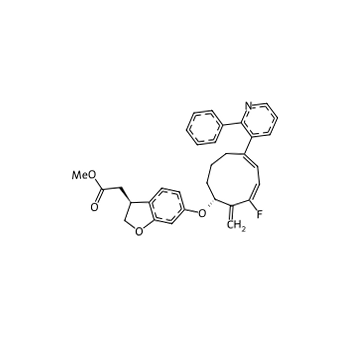 C=C1/C(F)=C\C=C(\c2cccnc2-c2ccccc2)CCC[C@H]1Oc1ccc2c(c1)OC[C@H]2CC(=O)OC